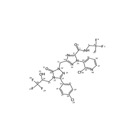 O=C(NCC(F)(F)F)c1nc(Cn2nc(-c3ccc(Cl)cc3)n(CC(O)C(F)(F)F)c2=O)nn1-c1cccnc1Cl